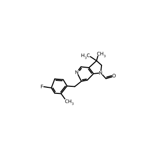 Cc1cc(F)ccc1Cc1cc2c(cn1)C(C)(C)CN2C=O